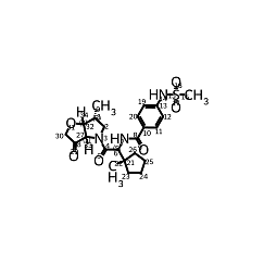 C[C@@H]1CN(C(=O)[C@@H](NC(=O)c2ccc(NS(C)(=O)=O)cc2)C2(C)CCCC2)[C@@H]2C(=O)CO[C@H]12